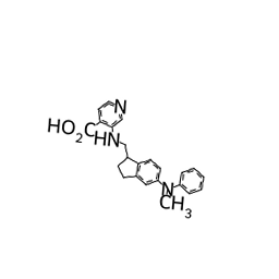 CN(c1ccccc1)c1ccc2c(c1)CCC2CNc1cnccc1C(=O)O